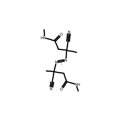 CNC(=O)CC(C)(C#N)/N=N/C(C)(C#N)CC(=O)NC